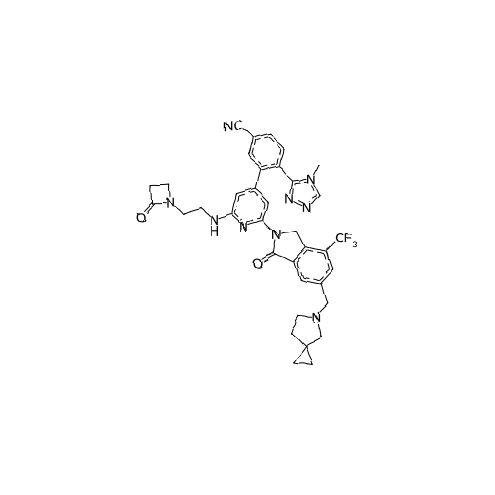 Cn1cnnc1-c1ccc(C#N)cc1-c1cc(NCCN2CCC2=O)nc(N2Cc3c(cc(CN4CCC5(CC5)C4)cc3C(F)(F)F)C2=O)c1